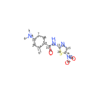 Cc1cc(N(C)C)ccc1C(=O)Nc1ncc([N+](=O)[O-])s1